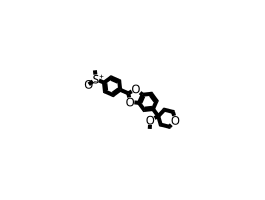 COC1(c2ccc3c(c2)OC(c2ccc([S+](C)[O-])cc2)O3)CCOCC1